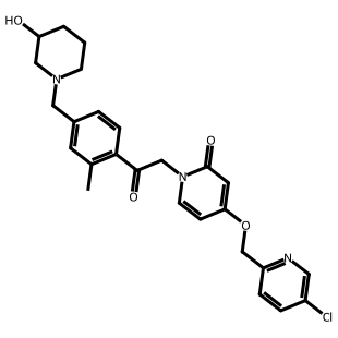 Cc1cc(CN2CCCC(O)C2)ccc1C(=O)Cn1ccc(OCc2ccc(Cl)cn2)cc1=O